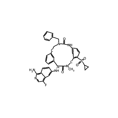 CN1Cc2cc(ccc2S(=O)(=O)C2CC2)NC(=O)N(Cc2ccccc2)CCc2cccc(c2)[C@@H](Nc2ccc3c(N)ncc(F)c3c2)C1=O